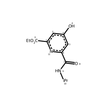 CCOC(=O)c1cc(O)cc(C(=O)NC(C)C)n1